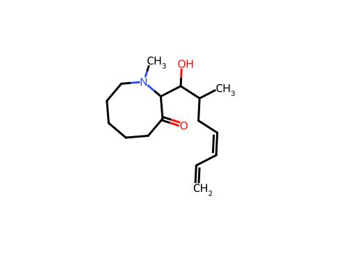 C=C/C=C\CC(C)C(O)C1C(=O)CCCCCN1C